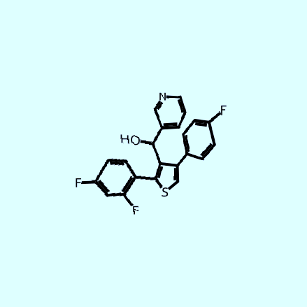 OC(c1cccnc1)c1c(-c2ccc(F)cc2)csc1-c1ccc(F)cc1F